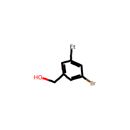 CCc1cc(Br)cc(CO)c1